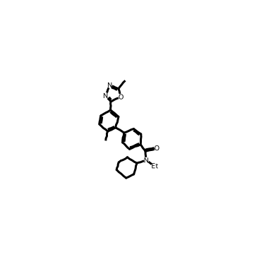 CCN(C(=O)c1ccc(-c2cc(-c3nnc(C)o3)ccc2C)cc1)C1CCCCC1